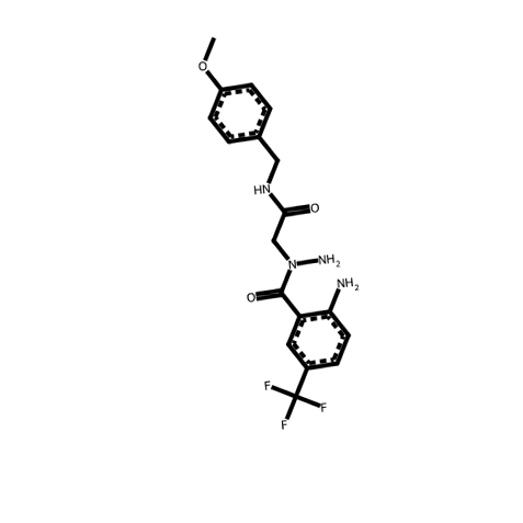 COc1ccc(CNC(=O)CN(N)C(=O)c2cc(C(F)(F)F)ccc2N)cc1